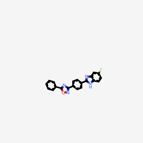 Fc1ccc2[nH]c(-c3ccc(-c4noc(-c5ccccc5)n4)cc3)nc2c1